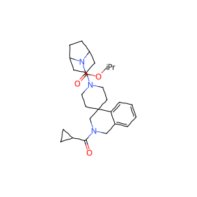 CC(C)OC(=O)N1C2CCC1CC(N1CCC3(CC1)CN(C(=O)C1CC1)Cc1ccccc13)C2